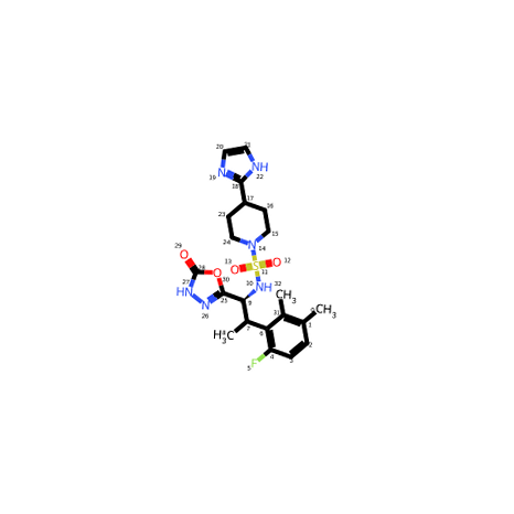 Cc1ccc(F)c(C(C)[C@H](NS(=O)(=O)N2CCC(c3ncc[nH]3)CC2)c2n[nH]c(=O)o2)c1C